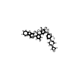 CC(=O)OCc1c(-c2cc(Nc3ccc(N4CCN(C5COC5)C[C@H]4C)cn3)c(=O)n(C)c2)cc(F)cc1-n1ncc2c3c(sc2c1=O)CCCC3